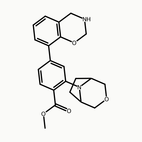 COC(=O)c1ccc(-c2cccc3c2OCNC3)cc1N1C2CCC1COC2